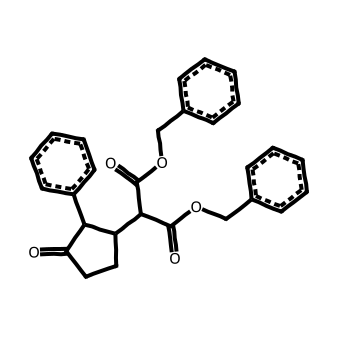 O=C(OCc1ccccc1)C(C(=O)OCc1ccccc1)C1CCC(=O)C1c1ccccc1